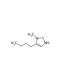 CCCCC1=CN[C]N1C